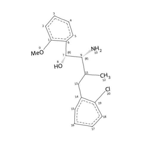 COc1ccccc1[C@@H](O)[C@H](N)C(C)Cc1ccccc1Cl